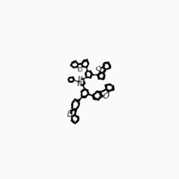 c1ccc(-c2nc(-c3cc(-c4ccc5oc6ccccc6c5c4)cc(-c4ccc5oc6ccccc6c5c4)c3)cc(-c3cc(-c4cccc5c4oc4ccccc45)cc(-c4cccc5c4oc4ccccc45)c3)n2)cc1